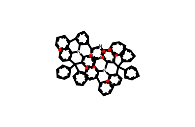 c1ccc(-c2nc(-c3cccc(-c4ccccc4)c3N3c4ccccc4C(c4ccccc4)(c4ccccc4)c4ccccc43)nc(-c3cccc(-c4ccccc4)c3N3c4ccccc4C(c4ccccc4)(c4ccccc4)c4ccccc43)n2)cc1